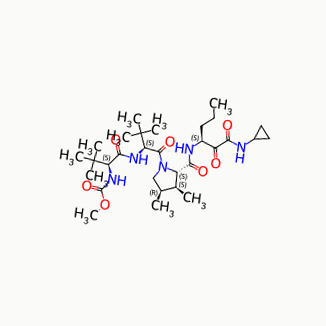 CCC[C@H](NC(=O)[C@@H]1[C@@H](C)[C@@H](C)CN1C(=O)[C@@H](NC(=O)[C@@H](NC(=O)OC)C(C)(C)C)C(C)(C)C)C(=O)C(=O)NC1CC1